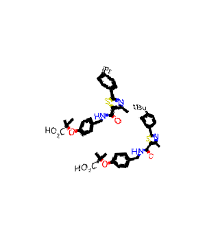 Cc1nc(-c2ccc(C(C)(C)C)cc2)sc1C(=O)NCc1ccc(OC(C)(C)C(=O)O)cc1.Cc1nc(-c2ccc(C(C)C)cc2)sc1C(=O)NCc1ccc(OC(C)(C)C(=O)O)cc1